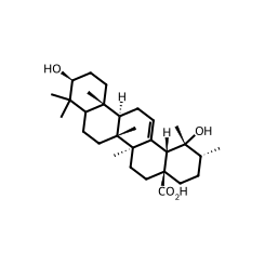 C[C@@H]1CC[C@]2(C(=O)O)CC[C@]3(C)C(=CC[C@@H]4[C@@]5(C)CC[C@H](O)C(C)(C)C5CC[C@]43C)[C@@H]2[C@]1(C)O